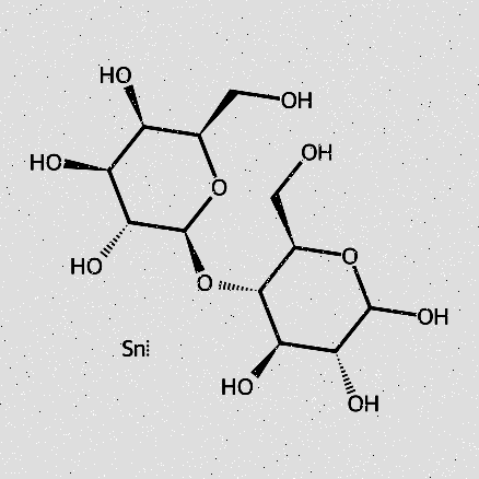 OC[C@H]1O[C@@H](O[C@H]2[C@H](O)[C@@H](O)C(O)O[C@@H]2CO)[C@H](O)[C@@H](O)[C@H]1O.[Sn]